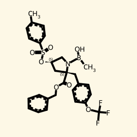 CB(O)N1C[C@@H](OS(=O)(=O)c2ccc(C)cc2)C[C@@]1(Cc1ccc(OC(F)(F)F)cc1)C(=O)OCc1ccccc1